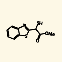 COC(=O)C(S)c1nc2ccccc2s1